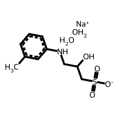 Cc1cccc(NCC(O)CS(=O)(=O)[O-])c1.O.O.[Na+]